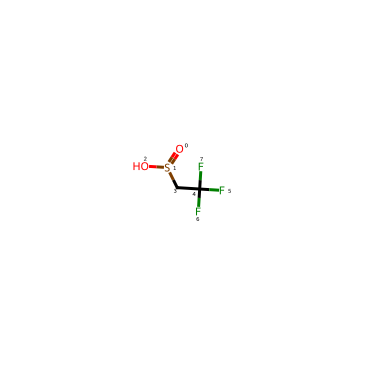 O=S(O)CC(F)(F)F